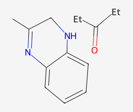 CC1=Nc2ccccc2NC1.CCC(=O)CC